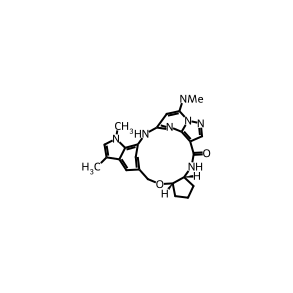 CNc1cc2nc3c(cnn13)C(=O)N[C@@H]1CCC[C@@H]1OCc1cc(c3c(c1)c(C)cn3C)N2